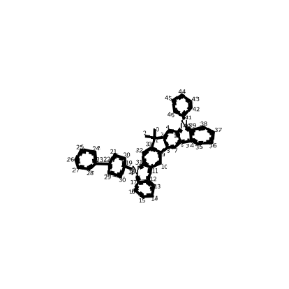 CC1(C)c2cc3c(cc2-c2cc4c5ccccc5n(-c5ccc(-c6ccccc6)cc5)c4cc21)c1ccccc1n3-c1ccccc1